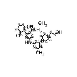 Cc1nc(Nc2nc(-c3c(C)cccc3Cl)c(C(N)=O)s2)cc(N2CCN(CCO)CC2)n1.O